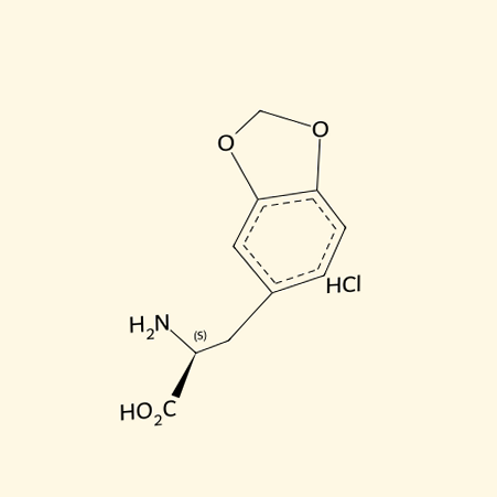 Cl.N[C@@H](Cc1ccc2c(c1)OCO2)C(=O)O